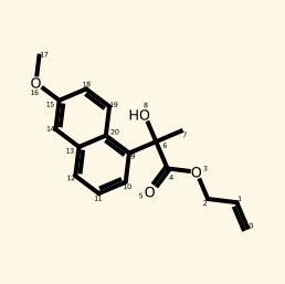 C=CCOC(=O)C(C)(O)c1cccc2cc(OC)ccc12